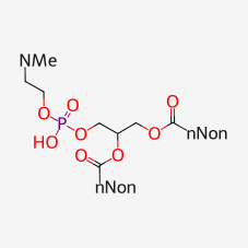 CCCCCCCCCC(=O)OCC(COP(=O)(O)OCCNC)OC(=O)CCCCCCCCC